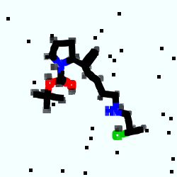 C=C(CCCCNCC(C)Cl)[C@@H]1CCCN1C(=O)OC(C)(C)C